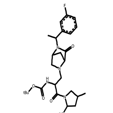 CC1CC(C#N)N(C(=O)C(CN2CC3CC2C(=O)N3C(C)c2cccc(F)c2)NC(=O)OC(C)(C)C)C1